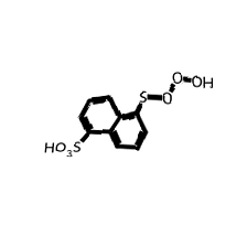 O=S(=O)(O)c1cccc2c(SOOO)cccc12